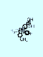 CC1CCC(C(C)C)C(N(C(=O)N2CCC(CC(=O)O)(C(=O)O)CC2)c2ccc(F)cc2)C1